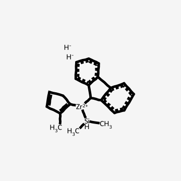 CC1=[C]([Zr+2]([CH]2c3ccccc3-c3ccccc32)[SiH](C)C)CC=C1.[H-].[H-]